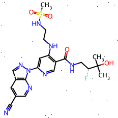 CC(C)(O)[C@H](F)CNC(=O)c1cnc(-n2ncc3cc(C#N)cnc32)cc1NCCNS(C)(=O)=O